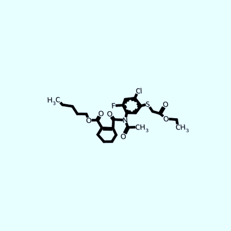 CCCCCOC(=O)C1=C(C(=O)N(C(C)=O)c2cc(SCC(=O)OCC)c(Cl)cc2F)CCCC1